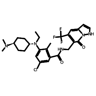 CCN(c1cc(Cl)cc(C(=O)NCc2c(C(F)(F)F)cc3cc[nH]n3c2=O)c1C)[C@H]1CC[C@H](N(C)C)CC1